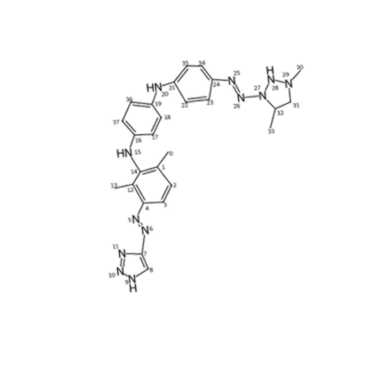 Cc1ccc(N=Nc2c[nH]nn2)c(C)c1Nc1ccc(Nc2ccc(N=NN3NN(C)CC3C)cc2)cc1